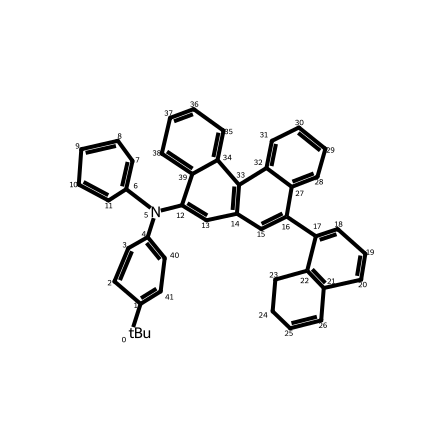 CC(C)(C)c1ccc(N(c2ccccc2)c2cc3cc(-c4cccc5c4CCC=C5)c4ccccc4c3c3ccccc23)cc1